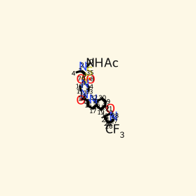 CC(=O)Nc1nc(C)c(S(=O)(=O)N2CCN(C(=O)c3ccc4cc(Oc5ccc(C(F)(F)F)cn5)ccc4n3)CC2)s1